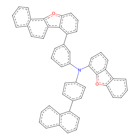 c1cc(-c2cccc3oc4c5ccccc5ccc4c23)cc(N(c2ccc(-c3cccc4ccccc34)cc2)c2cccc3c2oc2ccccc23)c1